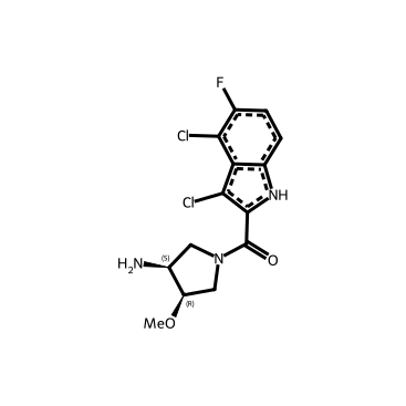 CO[C@@H]1CN(C(=O)c2[nH]c3ccc(F)c(Cl)c3c2Cl)C[C@@H]1N